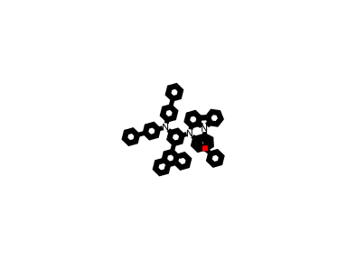 c1ccc(-c2ccc(N(c3ccc(-c4ccccc4)cc3)c3cc(-c4cc5ccccc5c5ccccc45)cc(N(c4ccc(-c5ccccc5)cc4)c4cccc5c6ccccc6n(-c6ccccc6)c45)c3)cc2)cc1